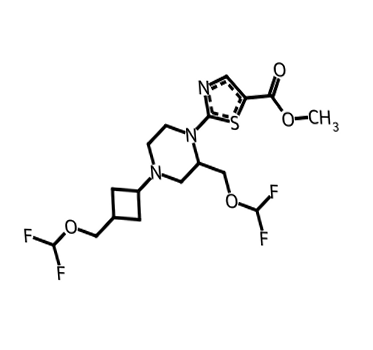 COC(=O)c1cnc(N2CCN(C3CC(COC(F)F)C3)CC2COC(F)F)s1